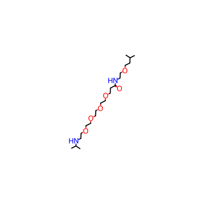 CC(C)CCOCCNC(=O)CCOCCOCCOCCOCCNC(C)C